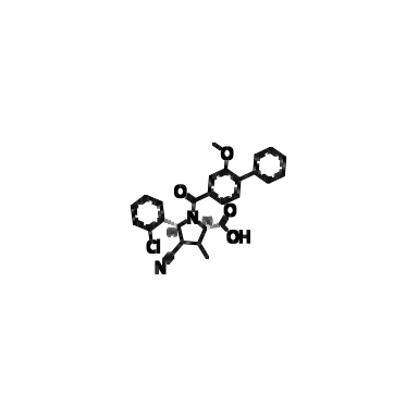 COc1cc(C(=O)N2[C@H](C(=O)O)C(C)C(C#N)[C@@H]2c2ccccc2Cl)ccc1-c1ccccc1